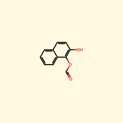 O=COc1c(O)ccc2ccccc12